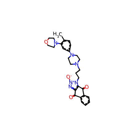 Cc1ccc(N2CCN(CCCn3c4c(n[n+]3[O-])C(=O)c3ccccc3C4=O)CC2)cc1N1CCOCC1